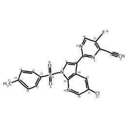 C#Cc1nc(-c2cn(S(=O)(=O)c3ccc(C)cc3)c3ncc(Cl)cc23)ncc1F